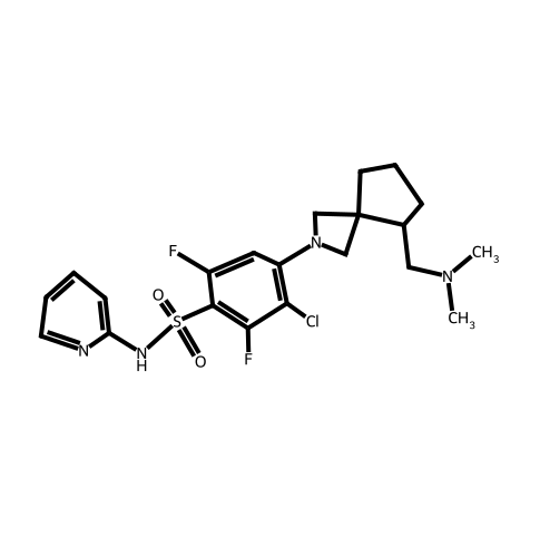 CN(C)CC1CCCC12CN(c1cc(F)c(S(=O)(=O)Nc3ccccn3)c(F)c1Cl)C2